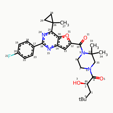 CC(C)(C)C[C@@H](O)C(=O)N1CCN(C(=O)c2cc3nc(-c4ccc(F)cc4)nc(C4(C)CC4)c3o2)C(C)(C)C1